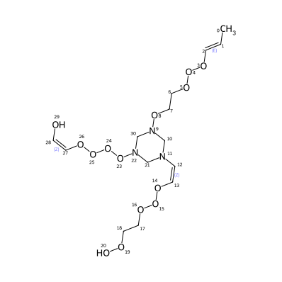 C/C=C/OOOCCON1CN(/C=C\OOOCCOO)CN(OOOO/C=C\O)C1